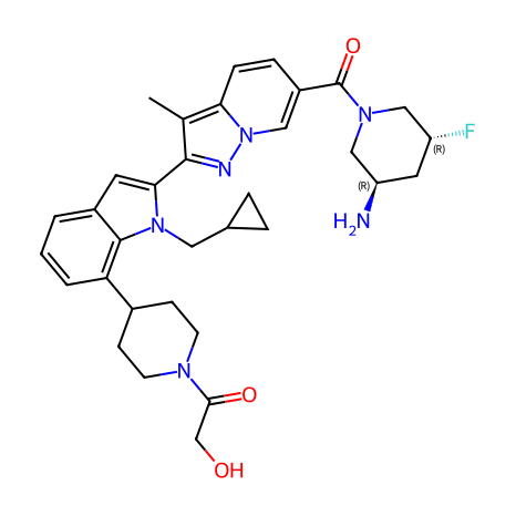 Cc1c(-c2cc3cccc(C4CCN(C(=O)CO)CC4)c3n2CC2CC2)nn2cc(C(=O)N3C[C@H](N)C[C@@H](F)C3)ccc12